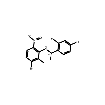 Cc1c(Br)ccc([N+](=O)[O-])c1N[C@H](C)c1ccc(Cl)cc1Cl